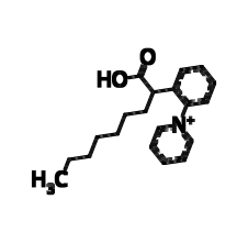 CCCCCCCC(C(=O)O)c1ccccc1-[n+]1ccccc1